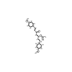 CBOC(=C\C(=O)/C=C/c1ccc(OC)cc1)/C=C/c1ccc(OC)cc1